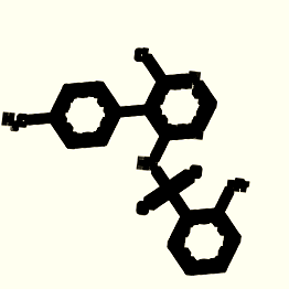 CCCc1ccccc1S(=O)(=O)Nc1ncnc(Cl)c1-c1ccc(C)cc1